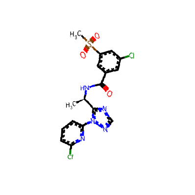 C[C@@H](NC(=O)c1cc(Cl)cc(S(C)(=O)=O)c1)c1ncnn1-c1cccc(Cl)n1